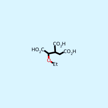 CCOC(C(=O)O)C(CC(=O)O)C(=O)O